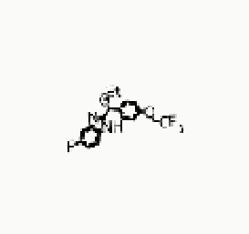 CCOC(c1ccc(OCC(F)(F)F)cc1)c1nc2cc(F)ccc2[nH]1